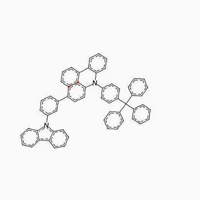 c1ccc(-c2ccccc2N(c2ccc(-c3cccc(-n4c5ccccc5c5ccccc54)c3)cc2)c2ccc(C(c3ccccc3)(c3ccccc3)c3ccccc3)cc2)cc1